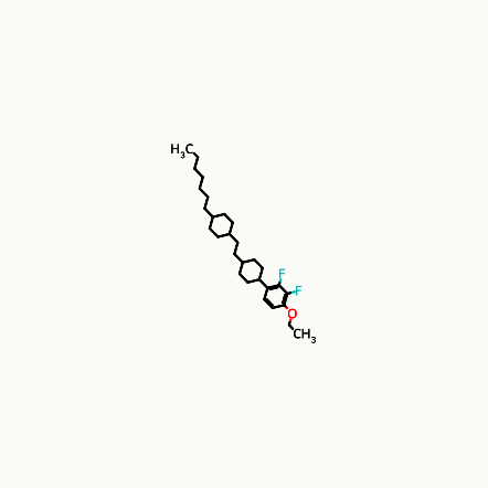 CCCCCCCC1CCC(CCC2CCC(c3ccc(OCC)c(F)c3F)CC2)CC1